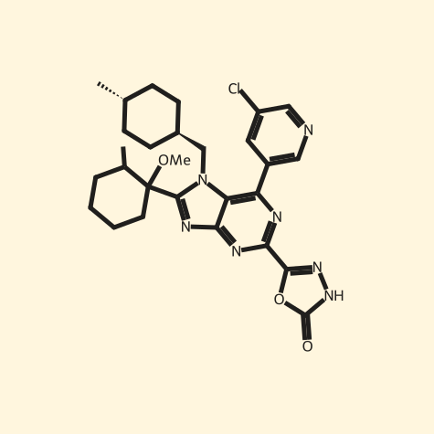 COC1(c2nc3nc(-c4n[nH]c(=O)o4)nc(-c4cncc(Cl)c4)c3n2C[C@H]2CC[C@H](C)CC2)CCCCC1C